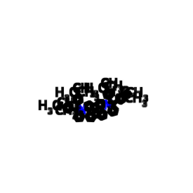 CC(C)(C)c1ccc(-c2c(-c3ccc(C(C)(C)C)cc3)n(-c3ccc4c(c3)C3(c5ccccc5-c5ccccc53)c3cc(-n5c(-c6ccc(C(C)(C)C)cc6)c(-c6ccc(C(C)(C)C)cc6)c6ccccc65)ccc3-4)c3ccccc23)cc1